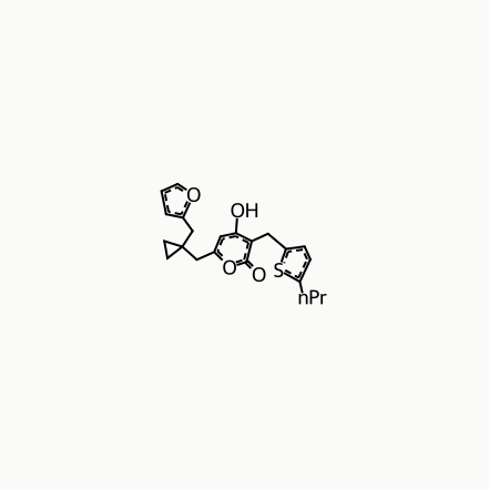 CCCc1ccc(Cc2c(O)cc(CC3(Cc4ccco4)CC3)oc2=O)s1